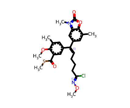 CO/N=C(\Cl)CCC/C=C(\c1cc(C)c(OC)c(C(=O)SC)c1)c1cc(C)c2oc(=O)n(C)c2c1